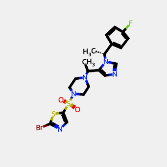 CC(c1cncn1[C@H](C)c1ccc(F)cc1)N1CCN(S(=O)(=O)c2cnc(Br)s2)CC1